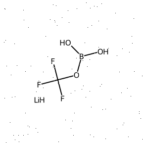 OB(O)OC(F)(F)F.[LiH]